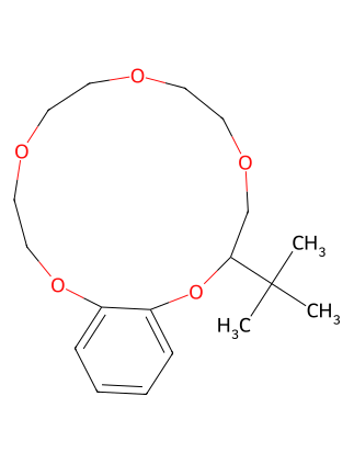 CC(C)(C)C1COCCOCCOCCOc2ccccc2O1